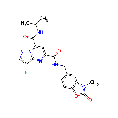 CC(C)NC(=O)c1cc(C(=O)NCc2ccc3oc(=O)n(C)c3c2)nc2c(F)cnn12